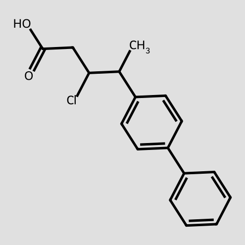 CC(c1ccc(-c2ccccc2)cc1)C(Cl)CC(=O)O